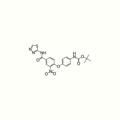 CC(C)(C)OC(=O)Nc1ccc(Oc2ccc(C(=O)Nc3nncs3)cc2[N+](=O)[O-])cc1